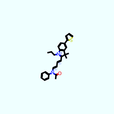 CCC[N+]1=C(/C=C/C=C/N(C(C)=O)c2ccccc2)C(C)(C)c2cc(-c3cccs3)ccc21